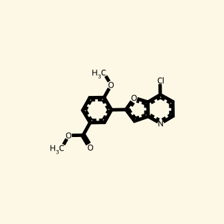 COC(=O)c1ccc(OC)c(-c2cc3nccc(Cl)c3o2)c1